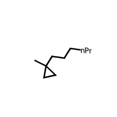 CCCCCCC1(C)CC1